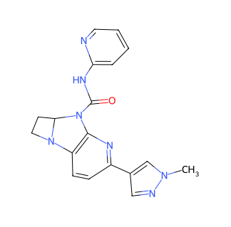 Cn1cc(-c2ccc3c(n2)N(C(=O)Nc2ccccn2)C2CCN32)cn1